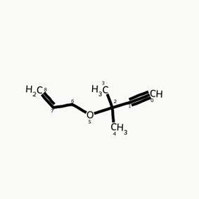 C#CC(C)(C)OCC=C